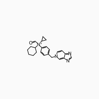 O=C[N+](c1ccc(Cn2ccc3ncnc-3c2)cc1)(C1CCCCC1)C1CC1